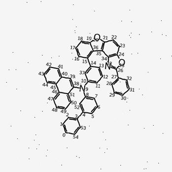 c1ccc(-c2cccc(N(c3cccc(-c4cccc5oc6ccc7oc(-c8ccccc8)nc7c6c45)c3)c3cc4ccccc4c4ccccc34)c2)cc1